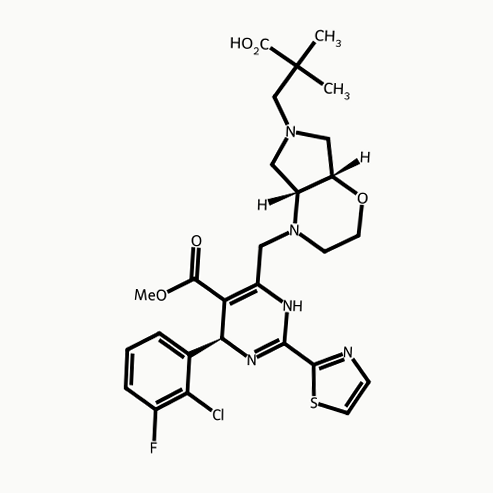 COC(=O)C1=C(CN2CCO[C@H]3CN(CC(C)(C)C(=O)O)C[C@H]32)NC(c2nccs2)=N[C@H]1c1cccc(F)c1Cl